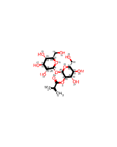 C=C(C)C(=O)O[C@H]1[C@@H](O[C@H]2O[C@H](CO)[C@@H](O)[C@H](O)[C@H]2O)O[C@H](CO)[C@@H](O)[C@@H]1O